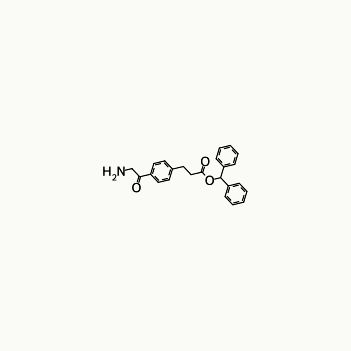 NCC(=O)c1ccc(CCC(=O)OC(c2ccccc2)c2ccccc2)cc1